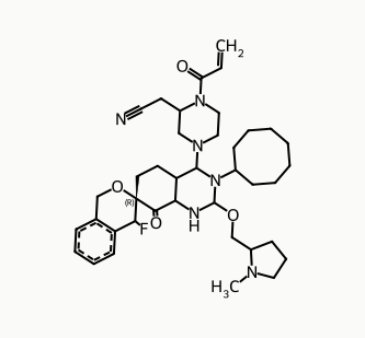 C=CC(=O)N1CCN(C2C3CC[C@@]4(OCc5ccccc5C4F)C(=O)C3NC(OCC3CCCN3C)N2C2CCCCCCC2)CC1CC#N